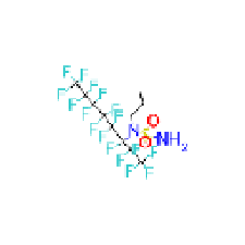 CCCN(C(F)(C(F)(F)C(F)(F)F)C(F)(F)C(F)(F)C(F)(F)C(F)(F)C(F)(F)F)S(N)(=O)=O